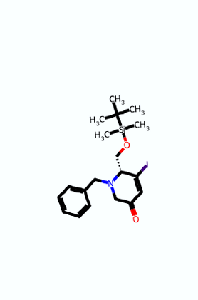 CC(C)(C)[Si](C)(C)OC[C@@H]1C(I)=CC(=O)CN1Cc1ccccc1